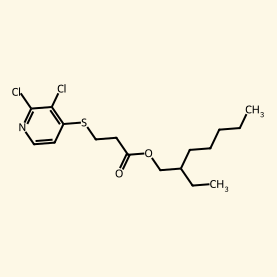 CCCCCC(CC)COC(=O)CCSc1ccnc(Cl)c1Cl